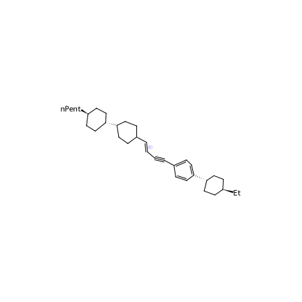 CCCCC[C@H]1CC[C@H](C2CCC(/C=C/C#Cc3ccc([C@H]4CC[C@H](CC)CC4)cc3)CC2)CC1